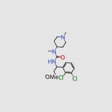 COCC(NC(=O)N(C)C1CCN(C)CC1)c1cccc(Cl)c1Cl